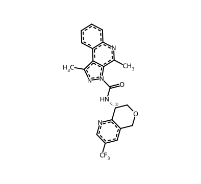 Cc1nn(C(=O)N[C@@H]2COCc3cc(C(F)(F)F)cnc32)c2c(C)nc3ccccc3c12